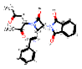 COC(=O)C[C@@H](C(=O)OC)N1C(=O)[C@H](N2C(=O)c3ccccc3C2=O)[C@@H]1/C=C/c1ccccc1